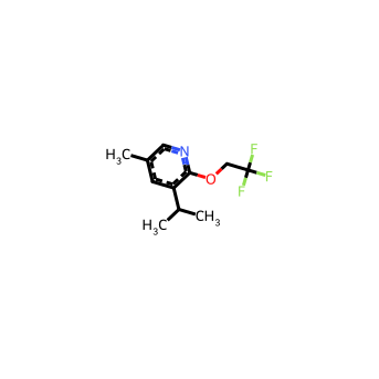 Cc1cnc(OCC(F)(F)F)c(C(C)C)c1